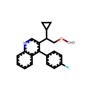 O=COCC(c1cnc2ccccc2c1-c1ccc(F)cc1)C1CC1